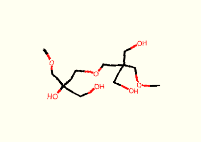 COCC(O)(CO)COCC(CO)(CO)COC